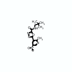 Cc1ncc([N+](=O)[O-])cc1-c1nnc(C(=O)NCC(C)(C)C)o1